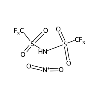 O=S(=O)(NS(=O)(=O)C(F)(F)F)C(F)(F)F.O=[N+]=O